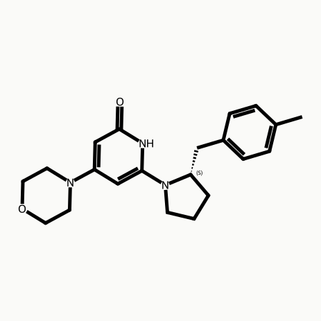 Cc1ccc(C[C@@H]2CCCN2c2cc(N3CCOCC3)cc(=O)[nH]2)cc1